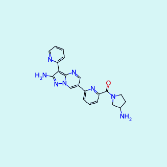 Nc1nn2cc(-c3cccc(C(=O)N4CCC(N)C4)n3)cnc2c1-c1ccccn1